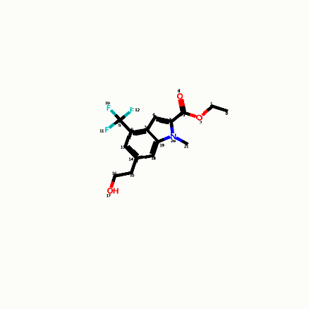 CCOC(=O)c1cc2c(C(F)(F)F)cc(CCO)cc2n1C